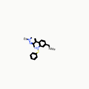 C=C(/C(C)=N\N(C)CC)c1ccc(CNC)cc1NSc1ccccc1